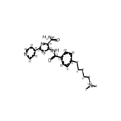 CN(C)CCCCCc1ccc(C(=O)Nc2sc(-c3ccncc3)nc2C(N)=O)cc1